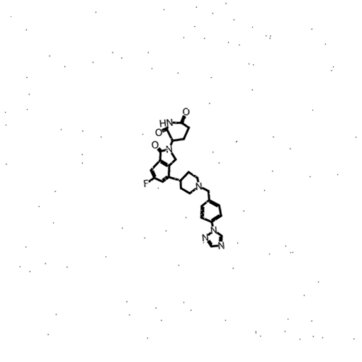 O=C1CCC(N2Cc3c(cc(F)cc3C3CCN(Cc4ccc(-n5cncn5)cc4)CC3)C2=O)C(=O)N1